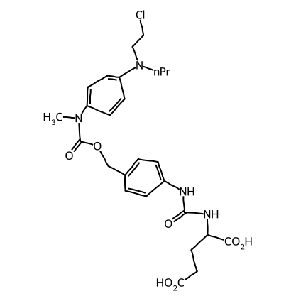 CCCN(CCCl)c1ccc(N(C)C(=O)OCc2ccc(NC(=O)NC(CCC(=O)O)C(=O)O)cc2)cc1